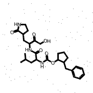 CC(C)CC(NC(=O)OC1CCCC1Cc1ccccc1)C(=O)NC(CC1CCNC1=O)C(=O)CO